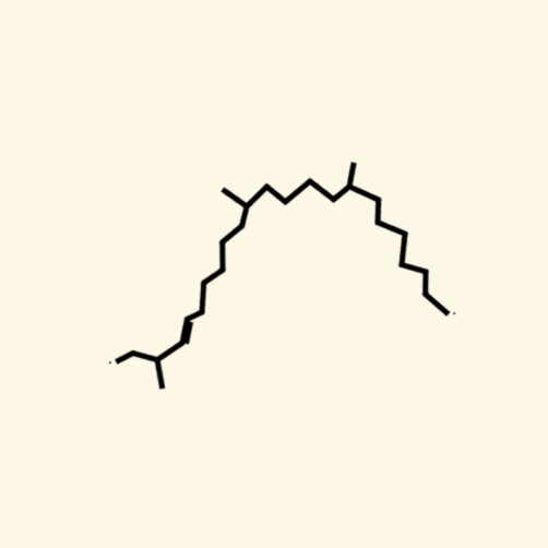 [CH2]CCCCCCC(C)CCCCC(C)CCCCCC=CC(C)C[CH2]